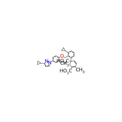 CC1=C(C(=O)O)CC(C(=O)O)(c2cccc(C3CC3)c2COc2ccc(-n3ccc(C4CC4)n3)cc2C)C=C1